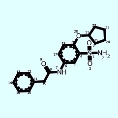 NS(=O)(=O)c1cc(NC(=O)Cc2ccccc2)ccc1OC1CCCC1